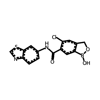 O=C(Nc1ccc2ncsc2c1)c1cc2c(cc1Cl)COB2O